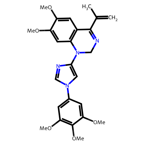 C=C(C)C1=NCN(c2cn(-c3cc(OC)c(OC)c(OC)c3)cn2)c2cc(OC)c(OC)cc21